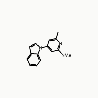 CNc1cc(-n2ccc3ccccc32)cc(C)n1